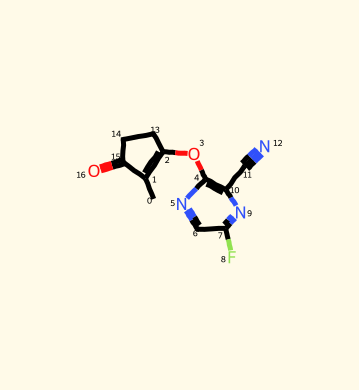 CC1=C(Oc2ncc(F)nc2C#N)CCC1=O